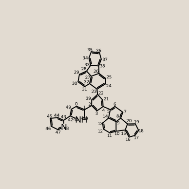 C1=C(c2cc(-c3ccc4c5c(cccc35)-c3ccccc3-4)cc(-c3ccc4c5c(cccc35)-c3ccccc3-4)c2)CNC(c2ccccn2)=C1